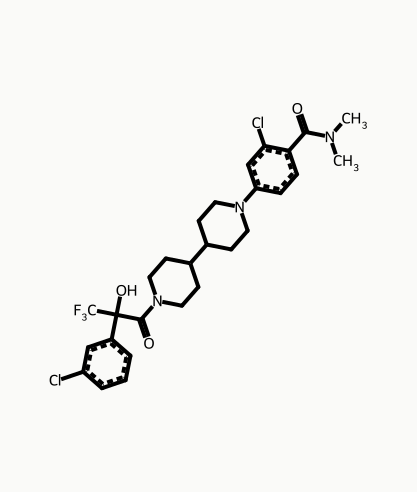 CN(C)C(=O)c1ccc(N2CCC(C3CCN(C(=O)C(O)(c4cccc(Cl)c4)C(F)(F)F)CC3)CC2)cc1Cl